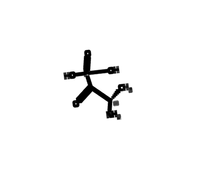 C[C@H](N)C(=O)P(=O)(O)O